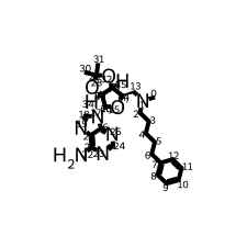 CN(CCCCCc1ccccc1)C[C@H]1O[C@@H](n2cnc3c(N)ncnc32)[C@@H]2OC(C)(C)O[C@@H]21